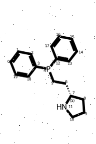 c1ccc(P(CC[C@@H]2CCCN2)c2ccccc2)cc1